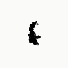 COCc1ccc(C)cc1N1C(=O)CSC1=NC(=O)Nc1ccc(-n2cnc(-c3ccc(OC(F)(F)F)cc3)c2)cc1Cl